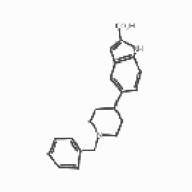 O=C(O)c1cc2cc(C3CCN(Cc4ccccc4)CC3)ccc2[nH]1